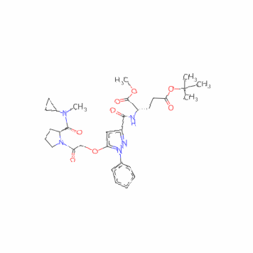 COC(=O)[C@H](CCC(=O)OC(C)(C)C)NC(=O)c1cc(OCC(=O)N2CCC[C@H]2C(=O)N(C)C2CC2)n(-c2ccccc2)n1